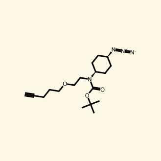 C#CCCCOCCN(C(=O)OC(C)(C)C)[C@H]1CC[C@@H](N=[N+]=[N-])CC1